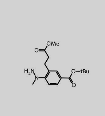 COC(=O)CCc1cc(C(=O)OC(C)(C)C)ccc1N(C)N